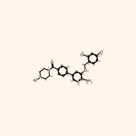 CC(=O)N1CCN(C(=O)c2ccc(-c3cnc(N)c(OCc4ccc(Cl)cc4Cl)c3)cc2)CC1